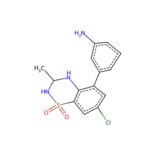 CC1Nc2c(-c3cccc(N)c3)cc(Cl)cc2S(=O)(=O)N1